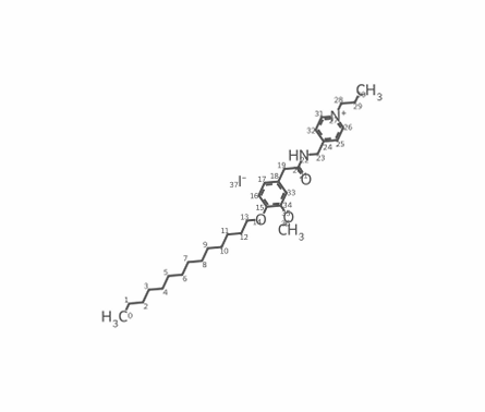 CCCCCCCCCCCCCCOc1ccc(CC(=O)NCc2cc[n+](CCC)cc2)cc1OC.[I-]